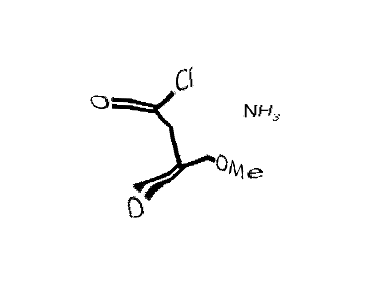 COC(=O)C(=O)Cl.N